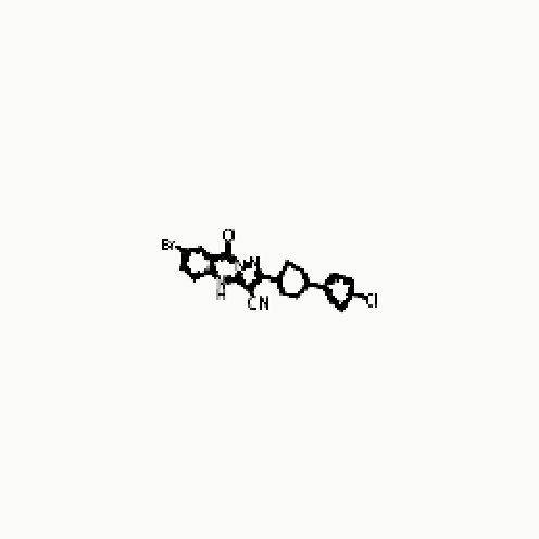 N#Cc1c(C2CCC(c3ccc(Cl)cc3)CC2)nn2c(=O)c3cc(Br)ccc3[nH]c12